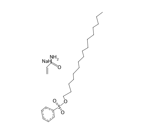 C=CC(N)=O.CCCCCCCCCCCCCCCCOS(=O)(=O)c1ccccc1.[NaH]